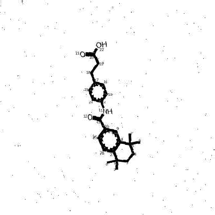 CC1(C)CCC(C)(C)c2cc(C(=O)Nc3ccc(CCC(=O)O)cc3)ccc21